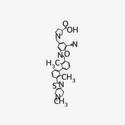 Cc1c(-c2nc3cc(CN4CC[C@@H](C(=O)O)C4)cc(C#N)c3o2)cccc1-c1cccc(-c2nc3c(s2)CN(C)CC3)c1C